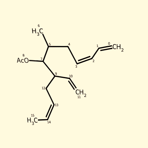 C=C/C=C\CC(C)C(OC(C)=O)C(C=C)C/C=C\C